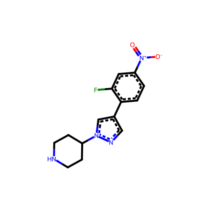 O=[N+]([O-])c1ccc(-c2cnn(C3CCNCC3)c2)c(F)c1